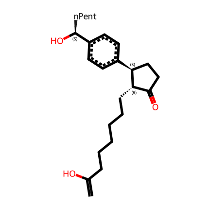 C=C(O)CCCCCC[C@H]1C(=O)CC[C@@H]1c1ccc([C@@H](O)CCCCC)cc1